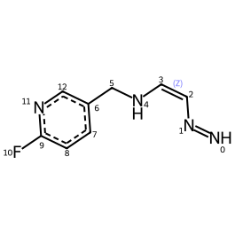 N=N/C=C\NCc1ccc(F)nc1